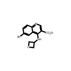 CCOC(=O)c1cnc2ccc(Br)cc2c1NC1COC1